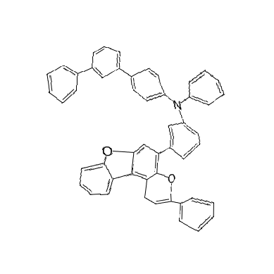 C1=C(c2ccccc2)Oc2c(-c3cccc(N(c4ccccc4)c4ccc(-c5cccc(-c6ccccc6)c5)cc4)c3)cc3oc4ccccc4c3c2C1